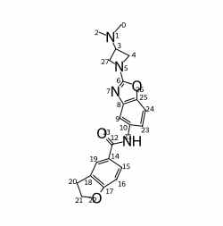 CN(C)C1CN(c2nc3cc(NC(=O)c4ccc5c(c4)CCO5)ccc3o2)C1